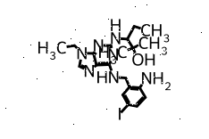 CCC(Nc1nc(NCc2cc(I)ccc2N)c2ncn(CC)c2n1)C(C)(C)O